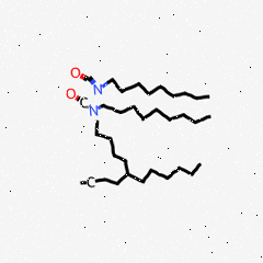 CCCCCCC(CCCC)CCCCC.CCCCCCCCCN=C=O.CCCCCCCCCN=C=O